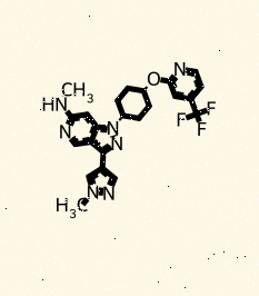 CNc1cc2c(cn1)c(-c1cnn(C)c1)nn2[C@H]1CC[C@@H](Oc2cc(C(F)(F)F)ccn2)CC1